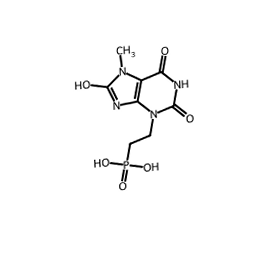 Cn1c(O)nc2c1c(=O)[nH]c(=O)n2CCP(=O)(O)O